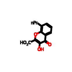 CCCc1cccc2c(=O)c(O)c(C(=O)O)oc12